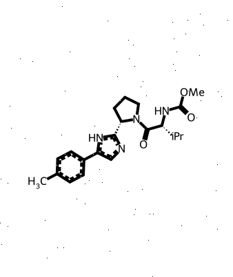 COC(=O)N[C@@H](C(=O)N1CCC[C@H]1c1ncc(-c2ccc(C)cc2)[nH]1)C(C)C